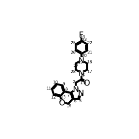 O=C(Cn1ncc2c1-c1ccccc1OC2)N1CCN(c2ccc(F)cc2)CC1